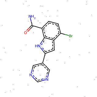 NC(=O)c1ccc(Br)c2cc(-c3cncnc3)[nH]c12